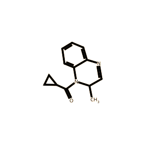 CC1C=Nc2ccccc2N1C(=O)C1CC1